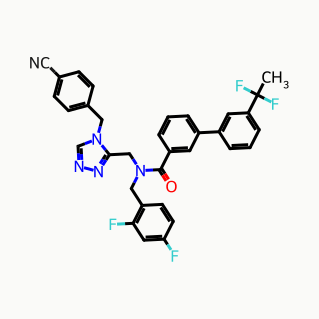 CC(F)(F)c1cccc(-c2cccc(C(=O)N(Cc3ccc(F)cc3F)Cc3nncn3Cc3ccc(C#N)cc3)c2)c1